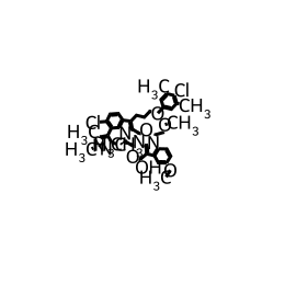 COCCn1c(N2C[C@@H](C)n3c(c(CCCOc4cc(C)c(Cl)c(C)c4)c4ccc(Cl)c(-c5c(C)nn(C)c5C)c43)C2=O)c(C(=O)O)c2cc(OC)ccc21